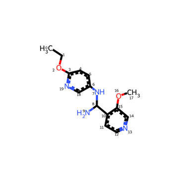 CCOc1ccc(NC(N)c2ccncc2OC)cn1